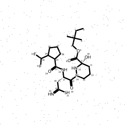 CCC(C)(C)COC(=O)[C@@]1(O)CCCN(C(=O)[C@H](CC(=N)S)NC(=O)C2CCCC2C(F)F)N1